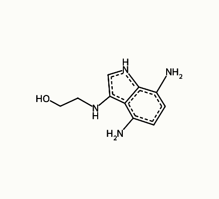 Nc1ccc(N)c2c(NCCO)c[nH]c12